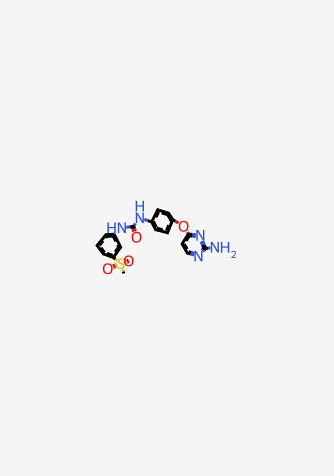 CS(=O)(=O)c1cccc(NC(=O)Nc2ccc(Oc3ccnc(N)n3)cc2)c1